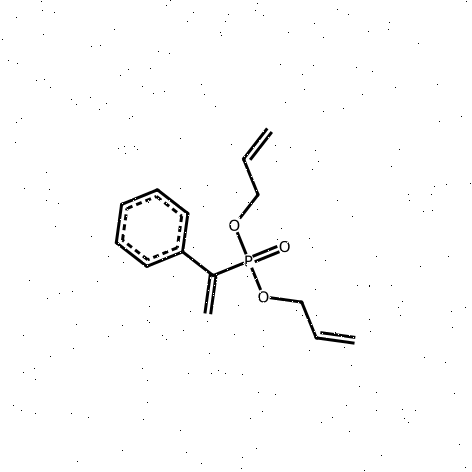 C=CCOP(=O)(OCC=C)C(=C)c1ccccc1